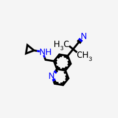 CC(C)(C#N)c1cc(CNC2CC2)c2ncccc2c1